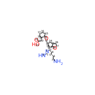 N=C\N=C(/C=C/C=C/N)c1cc(COc2ccccc2CC(=O)O)cc2ccoc12